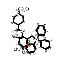 CCOC(=O)N1CCC(C(=O)Oc2c(Br)cc(OC)cc2C[P+](c2ccccc2)(c2ccccc2)c2ccccc2)CC1.[Cl-]